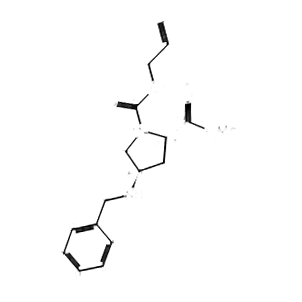 C=CCOC(=O)N1C[C@H](NCc2ccccc2)C[C@H]1C(=O)OC